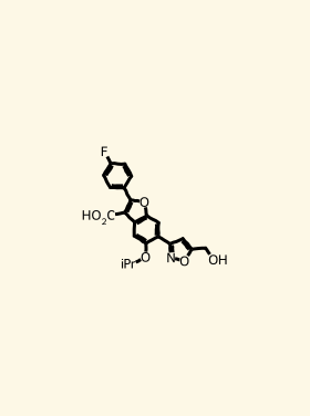 CC(C)Oc1cc2c(C(=O)O)c(-c3ccc(F)cc3)oc2cc1-c1cc(CO)on1